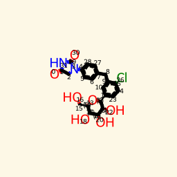 O=C1CN(c2ccc(Cc3cc([C@@H]4O[C@H](CO)[C@@H](O)[C@H](O)[C@@H]4O)ccc3Cl)cc2)C(=O)N1